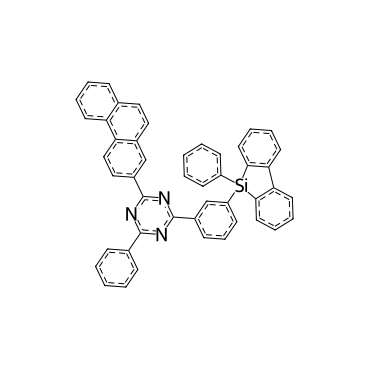 c1ccc(-c2nc(-c3cccc([Si]4(c5ccccc5)c5ccccc5-c5ccccc54)c3)nc(-c3ccc4c(ccc5ccccc54)c3)n2)cc1